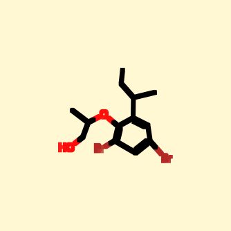 CCC(C)c1cc(Br)cc(Br)c1OC(C)CO